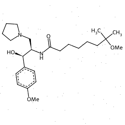 COc1ccc([C@@H](O)[C@@H](CN2CCCC2)NC(=O)CCCCCC(C)(C)OC)cc1